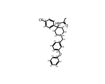 CC(=O)NC1(c2ccc(Cl)cc2)CCN(Cc2cccc(Oc3ccccc3)c2)CC1